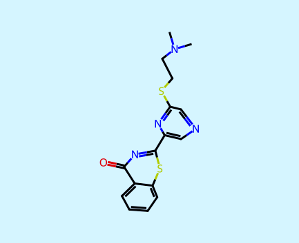 CN(C)CCSc1cncc(-c2nc(=O)c3ccccc3s2)n1